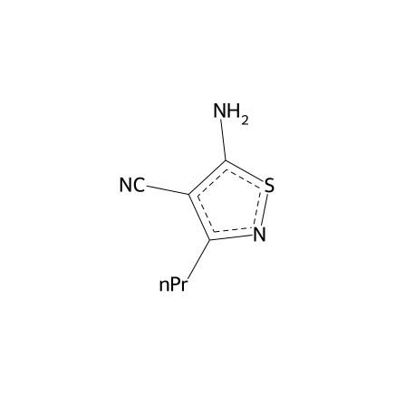 CCCc1nsc(N)c1C#N